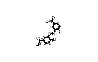 O=C(Cl)c1ccc(Cl)c(N=Nc2cc(C(=O)Cl)ccc2Cl)c1